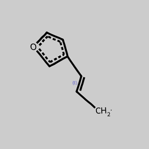 [CH2]/C=C/c1ccoc1